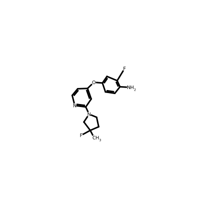 CC1(F)CCN(c2cc(Oc3ccc(N)c(F)c3)ccn2)C1